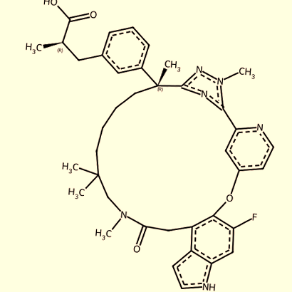 C[C@H](Cc1cccc([C@@]2(C)CCCCC(C)(C)CN(C)C(=O)Cc3c(c(F)cc4[nH]ccc34)Oc3ccnc(c3)-c3nc2nn3C)c1)C(=O)O